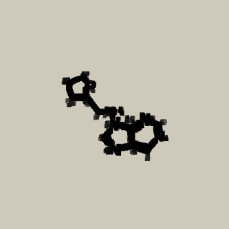 c1ncc2ncn(NCC3CCCO3)c2n1